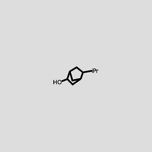 CC(C)C1CC2CC1CC2O